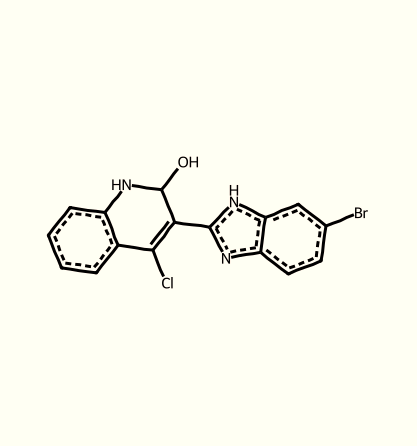 OC1Nc2ccccc2C(Cl)=C1c1nc2ccc(Br)cc2[nH]1